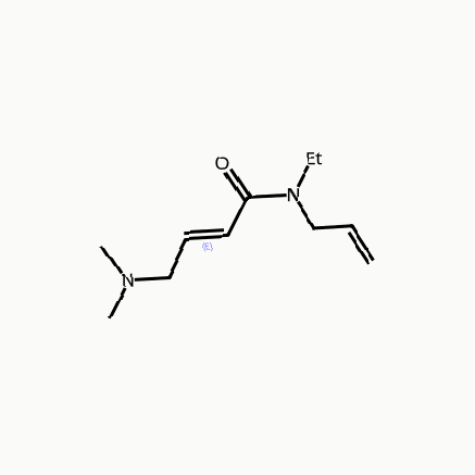 C=CCN(CC)C(=O)/C=C/CN(C)C